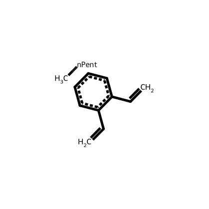 C=Cc1ccccc1C=C.CCCCCC